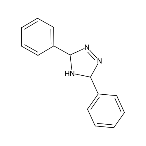 c1ccc(C2N=NC(c3ccccc3)N2)cc1